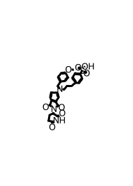 COc1ccc(CN(CCCc2ccc(S(=O)(=O)O)cc2)c2ccc3c(c2)C(=O)N(C2CCC(=O)NC2=O)C3=O)cc1